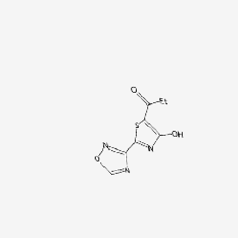 CCC(=O)c1sc(-c2ncon2)nc1O